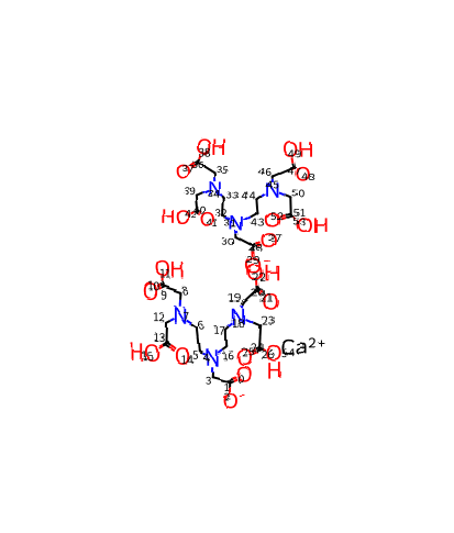 O=C([O-])CN(CCN(CC(=O)O)CC(=O)O)CCN(CC(=O)O)CC(=O)O.O=C([O-])CN(CCN(CC(=O)O)CC(=O)O)CCN(CC(=O)O)CC(=O)O.[Ca+2]